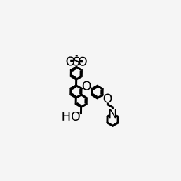 CS(=O)(=O)c1ccc(-c2ccc3cc(CO)ccc3c2Oc2ccc(OCCN3CCCCC3)cc2)cc1